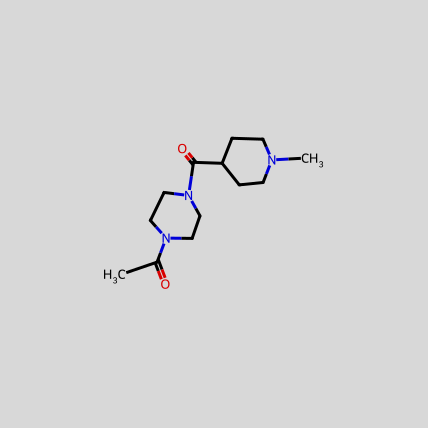 CC(=O)N1CCN(C(=O)C2CCN(C)CC2)CC1